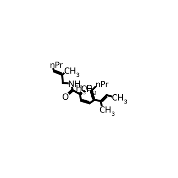 C=C(\C=C/C(=C(\C)CCC)C(/C)=C/C)C(=O)NC/C(C)=C/CCC